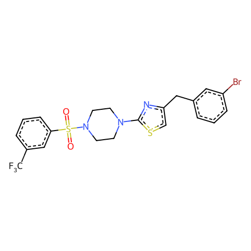 O=S(=O)(c1cccc(C(F)(F)F)c1)N1CCN(c2nc(Cc3cccc(Br)c3)cs2)CC1